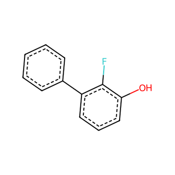 Oc1cccc(-c2ccccc2)c1F